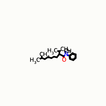 CC(C)CCCCCC(C(=O)N(C)c1ccccc1)C(C)C